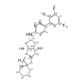 CC1(CN2C[C@H]3C[C@H](Nc4ccc(-c5cc(F)cc(F)c5F)nn4)C[C@H]3C2)CCCCO1